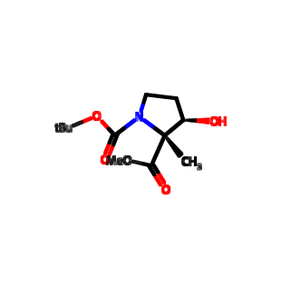 COC(=O)[C@@]1(C)[C@H](O)CCN1C(=O)OC(C)(C)C